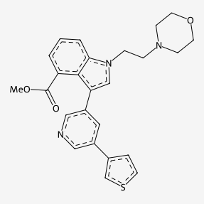 COC(=O)c1cccc2c1c(-c1cncc(-c3ccsc3)c1)cn2CCN1CCOCC1